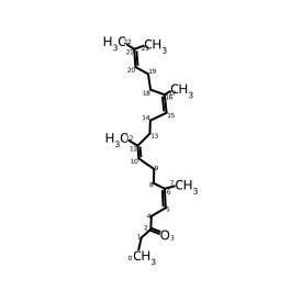 CCC(=O)CC=C(C)CCC=C(C)CCC=C(C)CCC=C(C)C